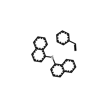 C=Cc1ccccc1.c1ccc2c(Sc3cccc4ccccc34)cccc2c1